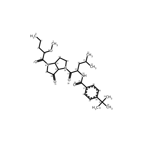 CCCC(OC)C(=O)N1CC(=O)C2C1CCN2C(=O)C(CC(C)C)NC(=O)c1ccc(C(C)(C)C)cc1